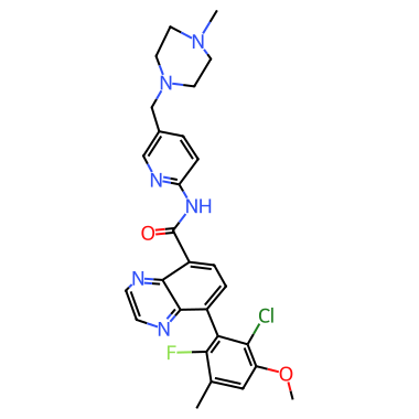 COc1cc(C)c(F)c(-c2ccc(C(=O)Nc3ccc(CN4CCN(C)CC4)cn3)c3nccnc23)c1Cl